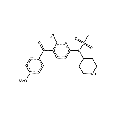 COc1ccc(C(=O)c2ccc(N(C3CCNCC3)S(C)(=O)=O)nc2N)cc1